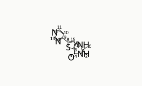 CC1(C)NC(=O)c2sc(-c3ccncn3)cc2N1